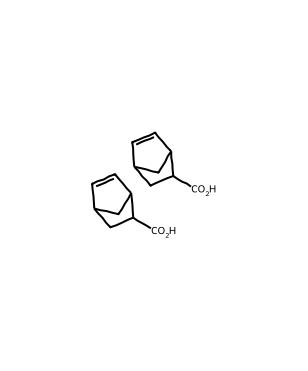 O=C(O)C1CC2C=CC1C2.O=C(O)C1CC2C=CC1C2